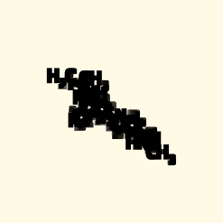 C=CC(C)c1nc2c3cnccc3c3cc(-c4ccc5cc(-c6cnc(C)[nH]6)ccc5n4)ccc3c2[nH]1